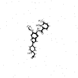 CCOc1cc2c(cc1NC(=O)c1cccc(C)[n+]1O)=CC(C1CCC(O)(CC#N)CC1)=[N+]=2